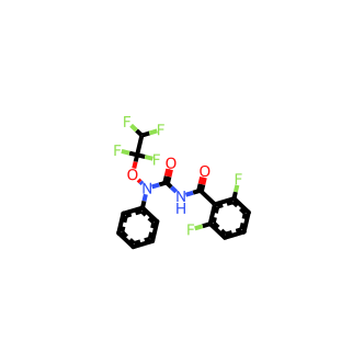 O=C(NC(=O)N(OC(F)(F)C(F)F)c1ccccc1)c1c(F)cccc1F